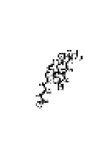 C=CC=O.CCCCC=O.CCCCCC=O.CCCCCCC=O